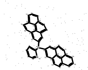 c1ccc(N(c2cc3ccc4cccc5ccc(c2)c3c45)c2cc3ccc4cccc5ccc(c2)c3c45)nc1